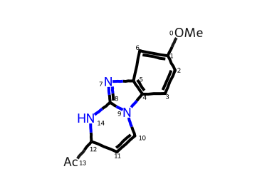 COc1ccc2c(c1)nc1n2C=CC(C(C)=O)N1